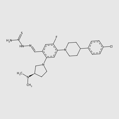 CN(C)[C@@H]1CCN(c2cc(N3CCC(c4ccc(Cl)cc4)CC3)c(F)cc2C=NNC(N)=S)C1